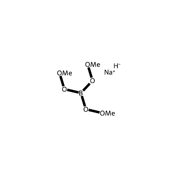 COOB(OOC)OOC.[H-].[Na+]